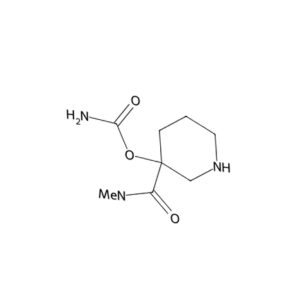 CNC(=O)C1(OC(N)=O)CCCNC1